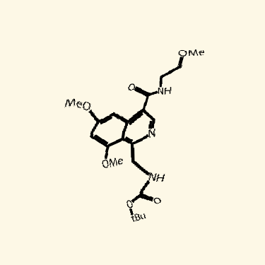 COCCNC(=O)c1cnc(CNC(=O)OC(C)(C)C)c2c(OC)cc(OC)cc12